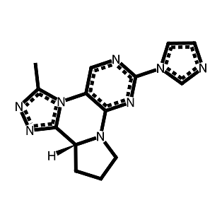 Cc1nnc2n1-c1cnc(-n3ccnc3)nc1N1CCC[C@H]21